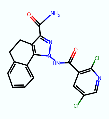 NC(=O)c1nn(NC(=O)c2cc(Cl)cnc2Cl)c2c1CCc1ccccc1-2